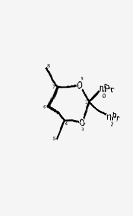 CCCC1(CCC)OC(C)CC(C)O1